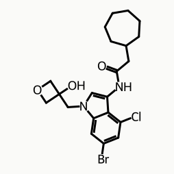 O=C(CC1CCCCCC1)Nc1cn(CC2(O)COC2)c2cc(Br)cc(Cl)c12